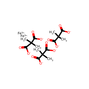 CC(C)(C(=O)[O-])C(=O)[O-].CC(C)(C(=O)[O-])C(=O)[O-].CC(C)(C(=O)[O-])C(=O)[O-].[Fe+3].[Fe+3]